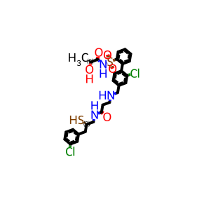 C[C@H](O)C(=O)NS(=O)(=O)c1ccccc1-c1ccc(CNCCC(=O)NC[C@H](S)Cc2cccc(Cl)c2)cc1Cl